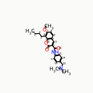 CCCCc1c(OC)ccc2cc(C(=O)Nc3ccc(CN(C)C)cc3)c(=O)oc12